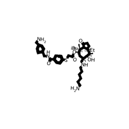 CC[C@@H](C)[C@]1(C)C2C(=O)CC[C@@]2(CC)[C@@H](C)[C@H](O)[C@@](C)(CNCCCCCCN)C[C@H]1OC(=O)CSc1ccc(C(=O)NCc2ccc(CN)cc2)cc1